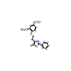 COc1cc(C=O)ccc1OCCc1nc(-c2ccccc2)oc1C